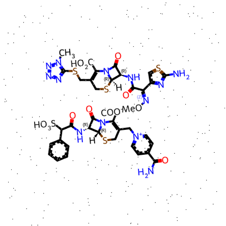 CO/N=C(\C(=O)N[C@@H]1C(=O)N2C(C(=O)O)=C(CSc3nnnn3C)CS[C@H]12)c1csc(N)n1.NC(=O)c1cc[n+](CC2=C(C(=O)[O-])N3C(=O)[C@@H](NC(=O)C(c4ccccc4)S(=O)(=O)O)[C@H]3SC2)cc1